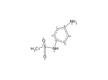 CS(=O)(=O)Nc1c[c]c(N)cc1